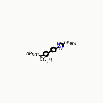 CCCCCc1cnc(-c2ccc(-c3ccc(C(CCCCC)C(=O)O)cc3)cc2)nc1